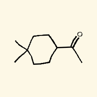 CC(=O)C1CCC(C)(C)CC1